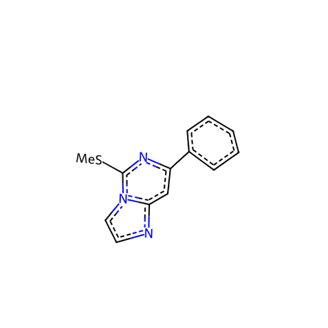 CSc1nc(-c2ccccc2)cc2nccn12